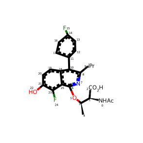 CC(=O)N[C@H](C(=O)O)[C@@H](C)Oc1nc(C(C)C)c(-c2ccc(F)cc2)c2ccc(O)c(F)c12